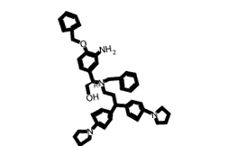 Nc1cc([C@H](CO)N(CCC(c2ccc(N3CCCC3)cc2)c2ccc(N3CCCC3)cc2)Cc2ccccc2)ccc1OCc1ccccc1